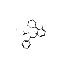 CC(=O)SC(CC1(O)C=CC=C(O)C1=C1CCCCC1)c1ccccc1